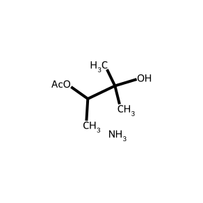 CC(=O)OC(C)C(C)(C)O.N